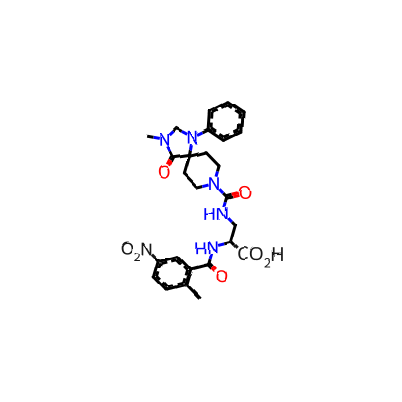 Cc1ccc([N+](=O)[O-])cc1C(=O)NC(CNC(=O)N1CCC2(CC1)C(=O)N(C)CN2c1ccccc1)C(=O)O